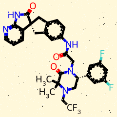 CC1(C)C(=O)N(CC(=O)Nc2ccc3c(c2)C[C@@]2(C3)C(=O)Nc3ncccc32)[C@H](c2cc(F)cc(F)c2)CN1CC(F)(F)F